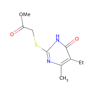 CCc1c(C)nc(SCC(=O)OC)[nH]c1=O